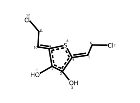 Oc1c(O)c(=CCCl)sc1=CCCl